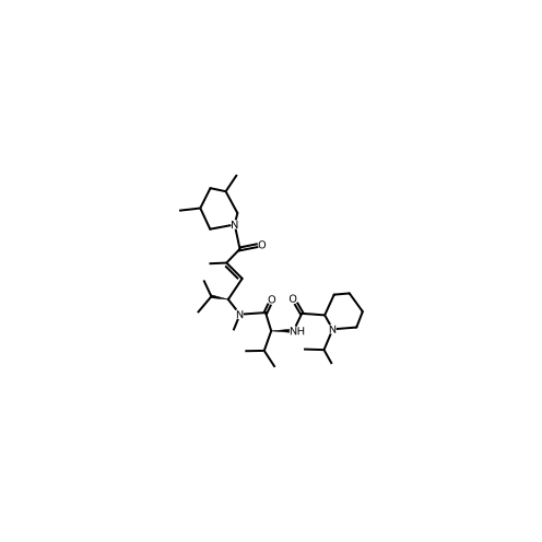 C/C(=C\[C@H](C(C)C)N(C)C(=O)[C@@H](NC(=O)C1CCCCN1C(C)C)C(C)C)C(=O)N1CC(C)CC(C)C1